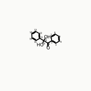 O=C(c1ccccc1)C(O)(O)c1ccccc1